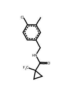 Cc1cc(CNC(=O)C2(C(F)(F)F)CC2)ccc1Cl